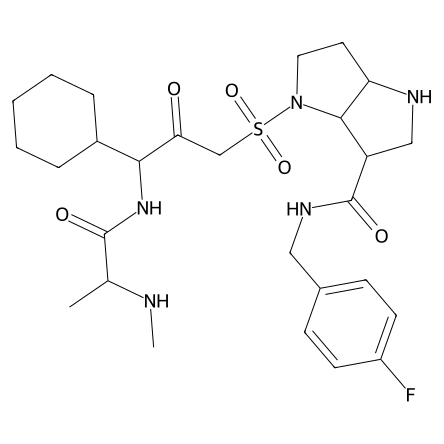 CNC(C)C(=O)NC(C(=O)CS(=O)(=O)N1CCC2NCC(C(=O)NCc3ccc(F)cc3)C21)C1CCCCC1